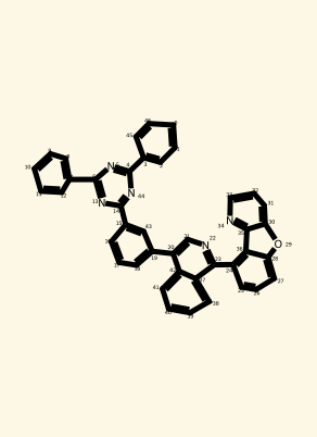 c1ccc(-c2nc(-c3ccccc3)nc(-c3cccc(-c4cnc(-c5cccc6oc7cccnc7c56)c5ccccc45)c3)n2)cc1